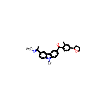 CCn1c2ccc(C(=O)c3ccc(C4CCCO4)cc3C)cc2c2cc(C(C)=NOC(C)=O)ccc21